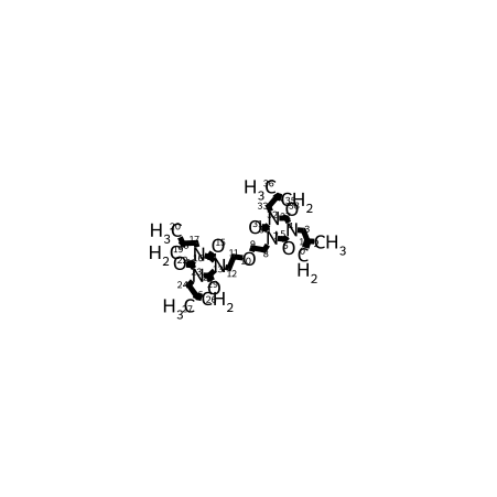 C=C(C)Cn1c(=O)n(CCOCCn2c(=O)n(CC(=C)C)c(=O)n(CC(=C)C)c2=O)c(=O)n(CC(=C)C)c1=O